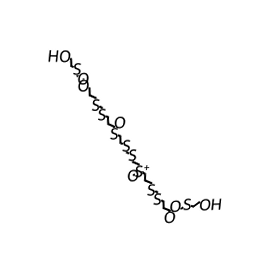 O=C(CCSCSCCC[S+]([O-])CCSCSCCSC(=O)CCSCSCCCOOCSCCO)OCSCCO